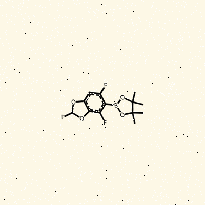 CC1(C)OB(c2c(F)cc3c(c2F)OC(F)O3)OC1(C)C